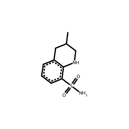 CC1CNc2c(cccc2S(N)(=O)=O)C1